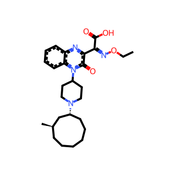 CCO/N=C(\C(=O)O)c1nc2ccccc2n(C2CCN([C@@H]3CCCCCC[C@@H](C)C3)CC2)c1=O